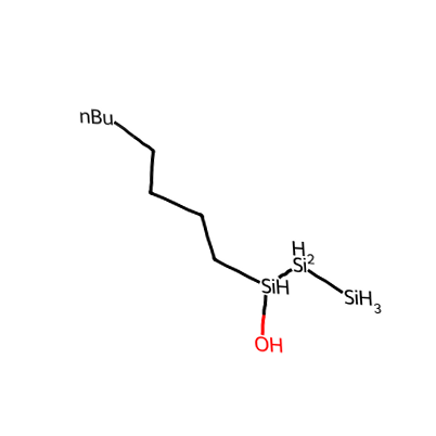 CCCCCCCC[SiH](O)[SiH2][SiH3]